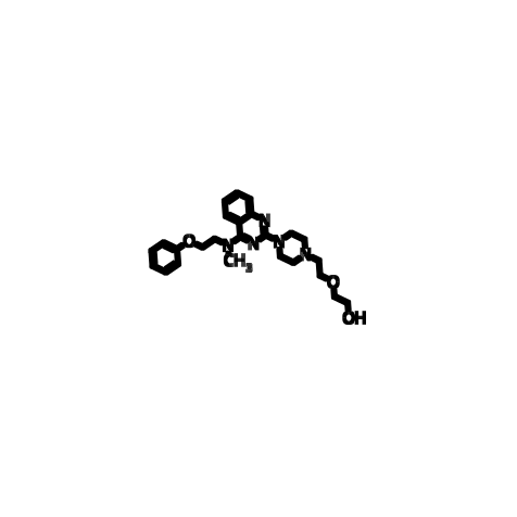 CN(CCOc1ccccc1)c1nc(N2CCN(CCOCCO)CC2)nc2ccccc12